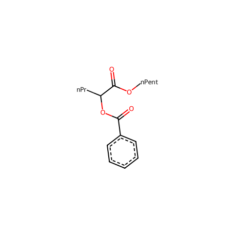 CCCCCOC(=O)C(CCC)OC(=O)c1ccccc1